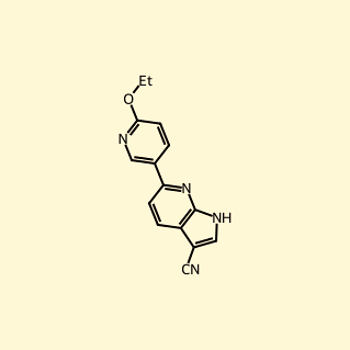 CCOc1ccc(-c2ccc3c(C#N)c[nH]c3n2)cn1